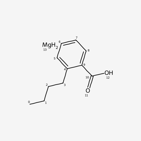 CCCCc1ccccc1C(=O)O.[MgH2]